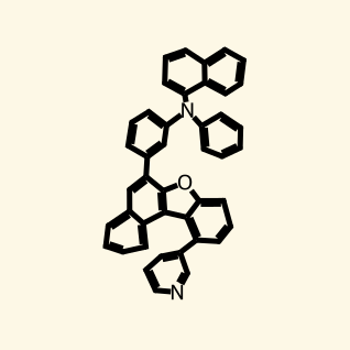 c1ccc(N(c2cccc(-c3cc4ccccc4c4c3oc3cccc(-c5cccnc5)c34)c2)c2cccc3ccccc23)cc1